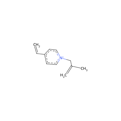 C=Cc1cc[n+](CC(=C)C)cc1